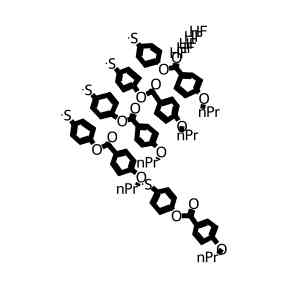 CCCOc1ccc(C(=O)Oc2ccc([S])cc2)cc1.CCCOc1ccc(C(=O)Oc2ccc([S])cc2)cc1.CCCOc1ccc(C(=O)Oc2ccc([S])cc2)cc1.CCCOc1ccc(C(=O)Oc2ccc([S])cc2)cc1.CCCOc1ccc(C(=O)Oc2ccc([S])cc2)cc1.F.F.F.F.F